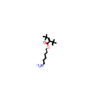 CC(C)(C)C=C(C(=O)OCCCCCCN)C(C)(C)C